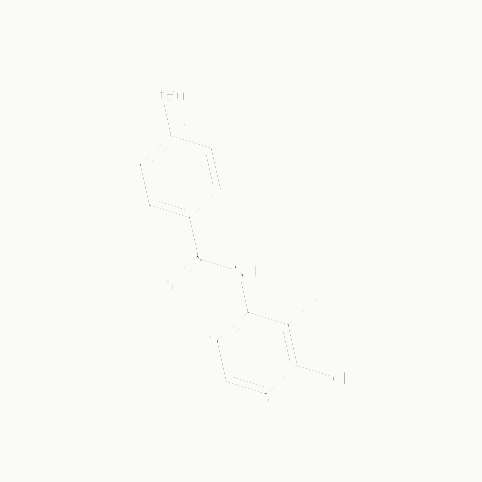 Cc1c(Cl)cccc1NC(=O)c1ccc(C(C)(C)C)cc1